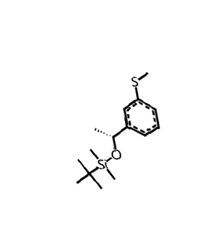 CSc1cccc([C@@H](C)O[Si](C)(C)C(C)(C)C)c1